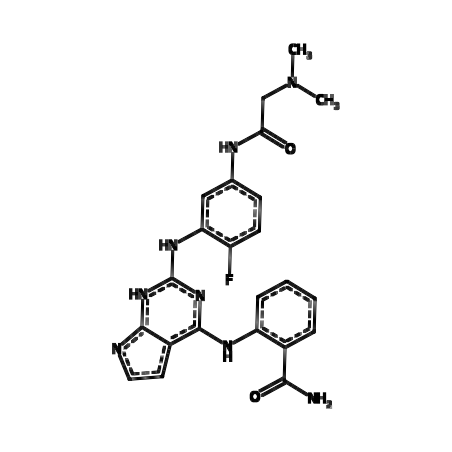 CN(C)CC(=O)Nc1ccc(F)c(Nc2nc(Nc3ccccc3C(N)=O)c3ccnc-3[nH]2)c1